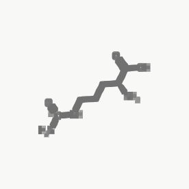 N[C@@H](CCCN[13C](N)=O)C(=O)O